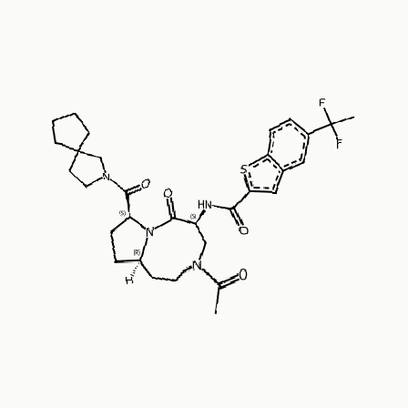 CC(=O)N1CC[C@H]2CC[C@@H](C(=O)N3CCC4(CCCC4)C3)N2C(=O)[C@@H](NC(=O)c2cc3cc(C(C)(F)F)ccc3s2)C1